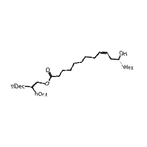 CCCCCCCCCCC(CCCCCCCC)COC(=O)CCCCCCC/C=C\C[C@H](O)CCCCCC